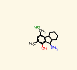 Cc1cc(C)c2c(c1O)C(N)C1CCCCC21.Cl